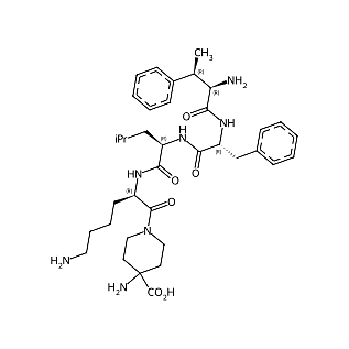 CC(C)C[C@@H](NC(=O)[C@@H](Cc1ccccc1)NC(=O)[C@H](N)[C@H](C)c1ccccc1)C(=O)N[C@H](CCCCN)C(=O)N1CCC(N)(C(=O)O)CC1